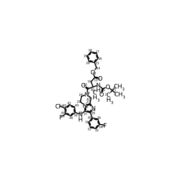 CC(C)(C)OC(=O)N[C@](C)(CC(=O)OCc1ccccc1)C(=O)N1CCn2c(nc(-c3cccc(F)c3)c2Nc2ccc(Cl)c(F)c2)C1